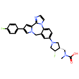 CN(C[C@H]1CN(c2ccc3c(c2)Cn2cc(-c4ccc(F)cc4)cc2-c2nccn2-3)C[C@H]1F)C(=O)O